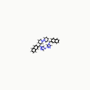 c1ccc2cc(C([C@H]3CCCN(N4CCC[C@H](C(c5ccc6ccccc6c5)n5cncn5)C4)C3)n3cnnc3)ccc2c1